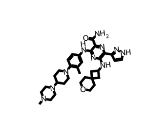 Cc1cc(Nc2nc(NC3CC4(CCOCC4)C3)c(-c3cc[nH]n3)nc2C(N)=O)ccc1N1CCC(N2CCN(C)CC2)CC1